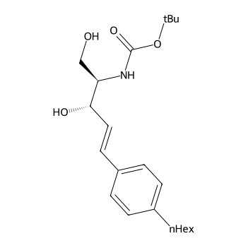 CCCCCCc1ccc(/C=C/[C@H](O)[C@@H](CO)NC(=O)OC(C)(C)C)cc1